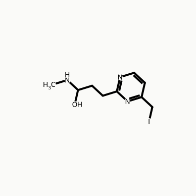 CNC(O)CCc1nccc(CI)n1